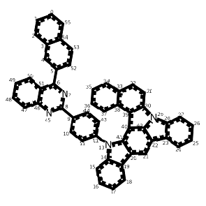 c1ccc2cc(-c3nc(-c4ccc(-n5c6ccccc6c6cc7c8ccccc8n8c9ccc%10ccccc%10c9c(c65)c78)cc4)nc4ccccc34)ccc2c1